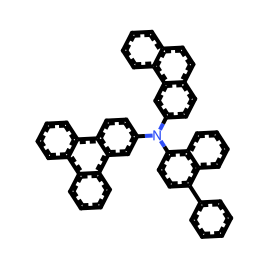 c1ccc(-c2ccc(N(c3ccc4ccc5ccccc5c4c3)c3ccc4c5ccccc5c5ccccc5c4c3)c3ccccc23)cc1